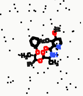 CCOc1ccnc(C(=O)N[C@@H](C)C(=O)OC(C(C)C)[C@H](C)Oc2ccccc2)c1OC(C)=O